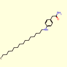 CCCCCCCCCCCCCCCCNc1ccc(CC(N)=O)cc1